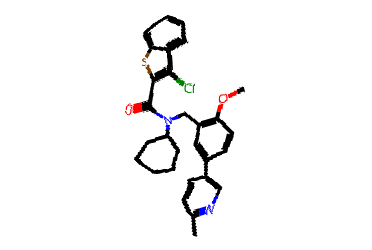 COc1ccc(-c2ccc(C)nc2)cc1CN(C(=O)c1sc2ccccc2c1Cl)C1CCCCC1